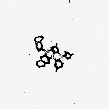 Cc1ccc(N2c3ccc(C)cc3B3c4cc5c(cc4N(c4ccc6c(c4)CCCC6)c4cc(C)cc2c43)CCCC5)cc1